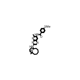 CSc1ccc(C(=O)Nc2cc3ncc(NC45BC(C)(CCCCC4)CCC5)nc3nc2C)cc1